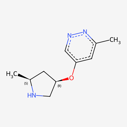 Cc1cc(O[C@H]2CN[C@@H](C)C2)cnn1